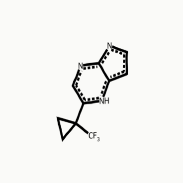 FC(F)(F)C1(c2cnc3nccc-3[nH]2)CC1